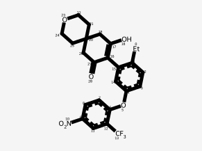 CCc1ccc(Oc2ccc([N+](=O)[O-])cc2C(F)(F)F)cc1C1=C(O)CC2(CCOCC2)CC1=O